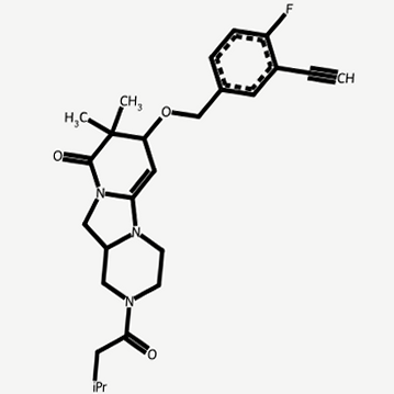 C#Cc1cc(COC2C=C3N(CC4CN(C(=O)CC(C)C)CCN34)C(=O)C2(C)C)ccc1F